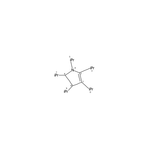 CC(C)C1=C(C(C)C)N(C(C)C)C(C(C)C)C1C(C)C